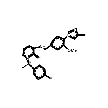 COc1cc(CNc2cccn([C@H](C)c3ccc(F)cc3)c2=O)ccc1-n1cnc(C)c1